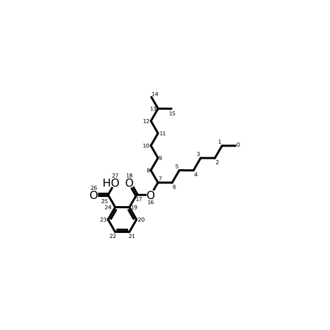 CCCCCCCC(CCCCCC(C)C)OC(=O)c1ccccc1C(=O)O